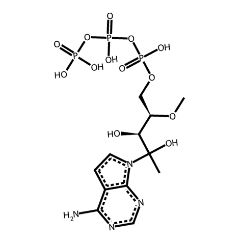 CO[C@H](COP(=O)(O)OP(=O)(O)OP(=O)(O)O)[C@H](O)C(C)(O)n1ccc2c(N)ncnc21